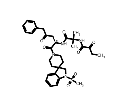 CCC(=O)C(=O)NC(C)(C)C(=O)N[C@H](CC(=O)Cc1ccccc1)C(=O)N1CCC2(CC1)CN(S(C)(=O)=O)c1ccccc12